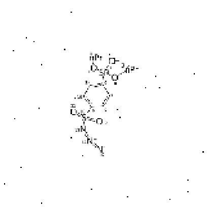 CCCO[Si](C)(OCCC)c1ccc(S(=O)(=O)N=[N+]=[N-])cc1